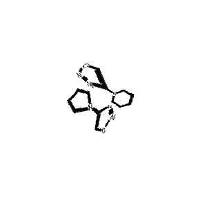 c1onnc1N1CCCC1.c1onnc1N1CCCCC1